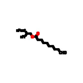 CCCCCC(CCC)COC(=O)CCCCCCCCC=O